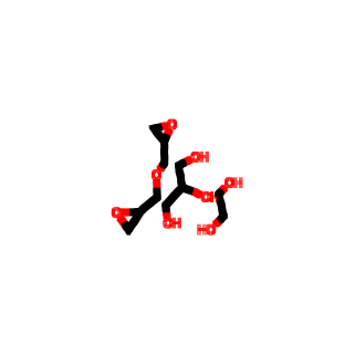 C(OCC1CO1)C1CO1.OCC(O)CO.OCCO